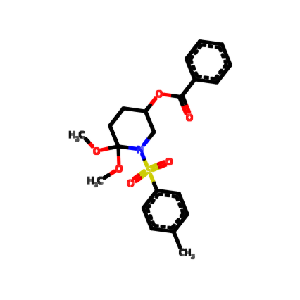 COC1(OC)CCC(OC(=O)c2ccccc2)CN1S(=O)(=O)c1ccc(C)cc1